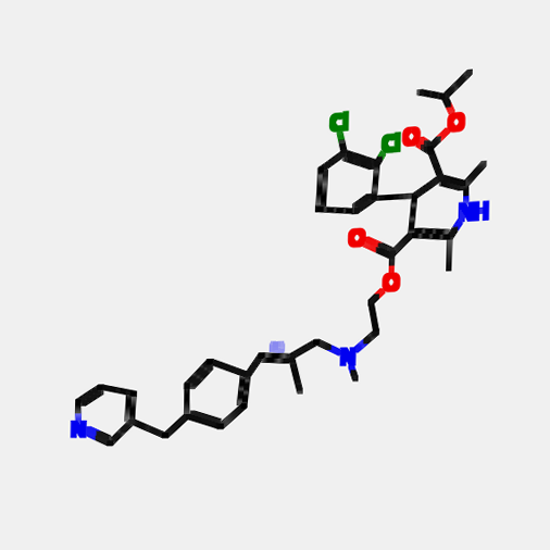 CC1=C(C(=O)OCCN(C)C/C(C)=C/c2ccc(Cc3cccnc3)cc2)C(c2cccc(Cl)c2Cl)C(C(=O)OC(C)C)=C(C)N1